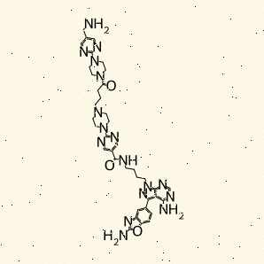 NCc1cnc(N2CCN(C(=O)CCCN3CCN(c4ncc(C(=O)NCCCCn5nc(-c6ccc7oc(N)nc7c6)c6c(N)ncnc65)cn4)CC3)CC2)nc1